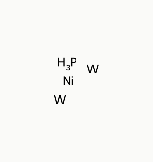 P.[Ni].[W].[W]